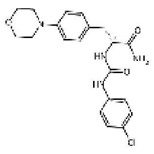 NC(=O)[C@@H](Cc1ccc(N2CCOCC2)cc1)NC(=O)Nc1ccc(Cl)cc1